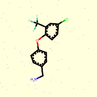 NCc1ccc(Oc2ccc(Cl)cc2C(F)(F)F)cc1